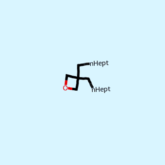 CCCCCCCCC1(CCCCCCCC)COC1